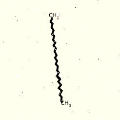 [CH2]CCCCCCCCCCCCCCCCCCCC=CCCCCCCCC